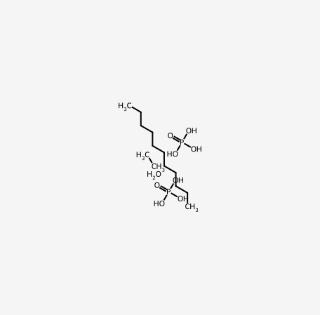 CC.CCCCCCCCCCC.O.O=P(O)(O)O.O=P(O)(O)O